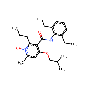 CCCc1c(C(=O)Nc2c(CC)cccc2CC)c(OCC(C)C)cc(C)[n+]1[O-]